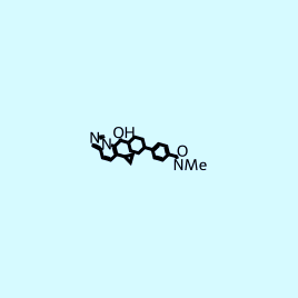 CNC(=O)c1ccc(C2CCC(C(O)c3c(C4CC4)ccc4cncn34)CC2)cc1